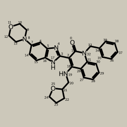 O=c1c(-c2nc3cc(N4CCOCC4)ccc3[nH]2)c(NCC2CCCO2)c2ccccc2n1Cc1ccccc1